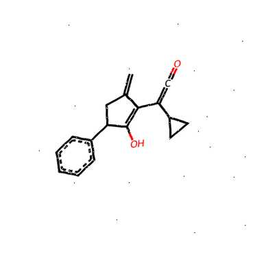 C=C1CC(c2ccccc2)C(O)=C1C(=C=O)C1CC1